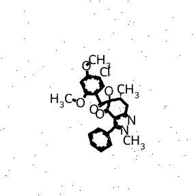 COc1cc(OC)c2c(c1Cl)O[C@]1(C2=O)C(=O)c2c(nn(C)c2-c2ccccc2)C[C@H]1C